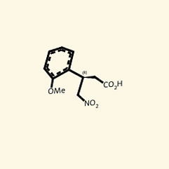 COc1ccccc1[C@@H](CC(=O)O)C[N+](=O)[O-]